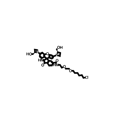 N=C1C(=O)c2ccc(C(=O)NCCOCCOCCCCCCCl)cc2C12c1ccc(N3CC[C@@H]3CO)cc1Oc1cc(N3CC[C@@H]3CO)ccc12